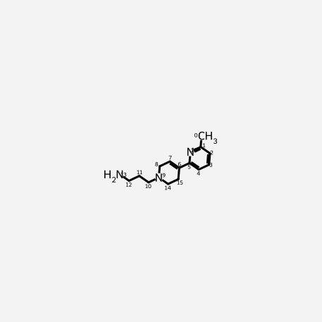 Cc1cccc(C2=CCN(CCCN)CC2)n1